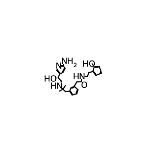 CC(C)(Cc1cccc(CC(=O)NCCc2ccccc2O)c1)NC[C@@H](O)c1ccc(N)nc1